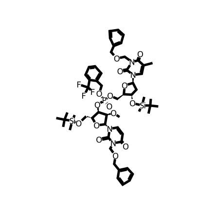 CO[C@@H]1[C@H](OP(=O)(OCc2ccccc2C(F)(F)F)OC[C@H]2O[C@@H](n3cc(C)c(=O)n(COCc4ccccc4)c3=O)C[C@@H]2O[Si](C)(C)C(C)(C)C)[C@@H](CO[Si](C)(C)C(C)(C)C)O[C@H]1n1ccc(=O)n(COCc2ccccc2)c1=O